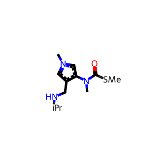 CSC(=O)N(C)c1cn(C)cc1CNC(C)C